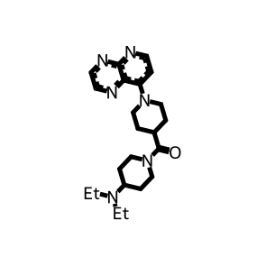 CCN(CC)C1CCN(C(=O)C2CCN(c3ccnc4nccnc34)CC2)CC1